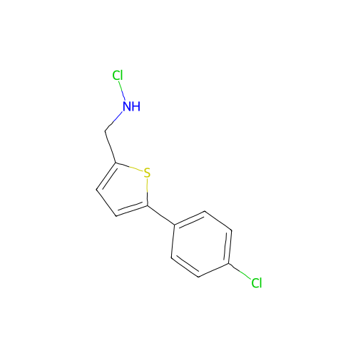 ClNCc1ccc(-c2ccc(Cl)cc2)s1